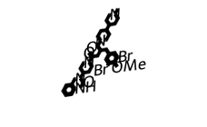 COc1c(Br)cc(CC(CC(=O)N2CCC(N3Cc4ccccc4NC3=O)CC2)C(=O)N2CCC(C3CCN(C)CC3)CC2)cc1Br